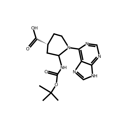 CC(C)(C)OC(=O)NC1C[C@H](C(=O)O)CCN1c1ncnc2[nH]cnc12